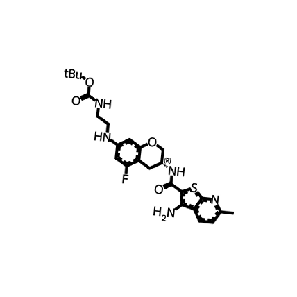 Cc1ccc2c(N)c(C(=O)N[C@H]3COc4cc(NCCNC(=O)OC(C)(C)C)cc(F)c4C3)sc2n1